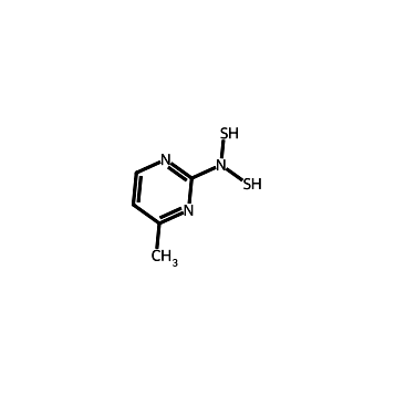 Cc1ccnc(N(S)S)n1